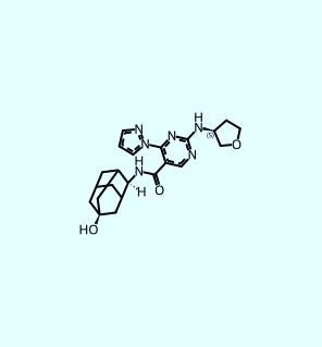 O=C(N[C@H]1C2CC3CC1C[C@@](O)(C3)C2)c1cnc(N[C@H]2CCOC2)nc1-n1cccn1